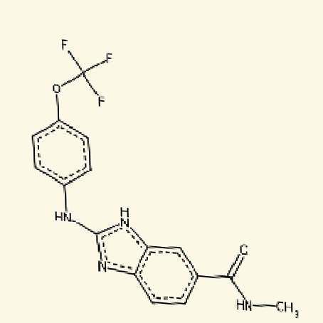 CNC(=O)c1ccc2nc(Nc3ccc(OC(F)(F)F)cc3)[nH]c2c1